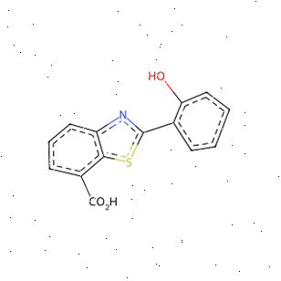 O=C(O)c1cccc2nc(-c3ccccc3O)sc12